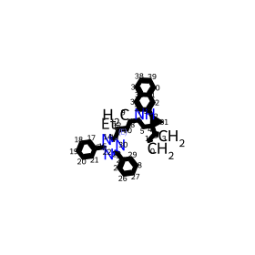 C=CC(=C)C1(CC(=N)C(=C)/C=C(\CC)c2nc(-c3ccccc3)nc(-c3ccccc3)n2)C=C1c1ccc2ccccc2c1